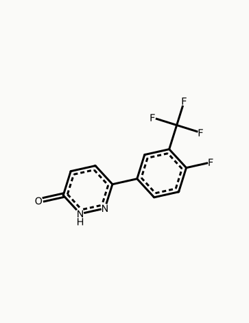 O=c1ccc(-c2ccc(F)c(C(F)(F)F)c2)n[nH]1